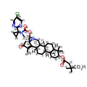 CC(C)C1=C2[C@H]3CC[C@@H]4[C@@]5(C)CC[C@H](OC(=O)CC(C)(C)C(=O)O)C(C)(C)[C@@H]5CC[C@@]4(C)[C@]3(C)CN3[C@@]4(CN(C5(c6ncc(Cl)cn6)CC5)C(=O)O4)[C@]23CC1=O